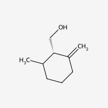 C=C1CCCC(C)[C@@H]1CO